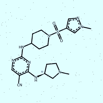 CN1CC[C@H](Nc2nc(NC3CCN(S(=O)(=O)c4cnn(C)c4)CC3)ncc2C#N)C1